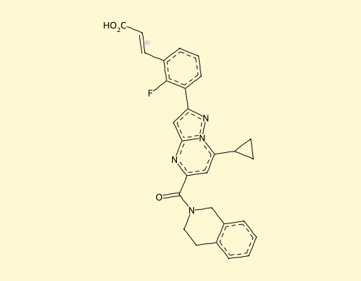 O=C(O)/C=C/c1cccc(-c2cc3nc(C(=O)N4CCc5ccccc5C4)cc(C4CC4)n3n2)c1F